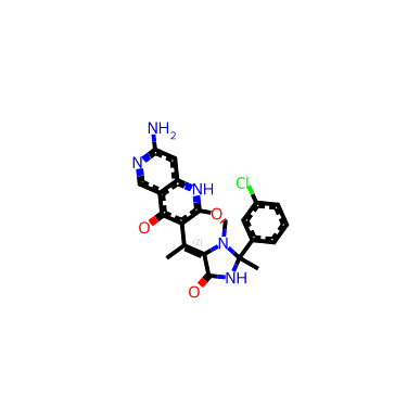 C/C(=C1\C(=O)NC(C)(c2cccc(Cl)c2)N1C=O)c1c(C)[nH]c2cc(N)ncc2c1=O